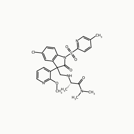 COc1ncccc1C1(CN[C@@H](C)C(=O)N(C)C)C(=O)N(S(=O)(=O)c2ccc(C)cn2)c2ccc(Cl)cc21